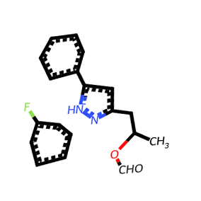 CC(Cc1cc(-c2ccccc2)[nH]n1)OC=O.Fc1ccccc1